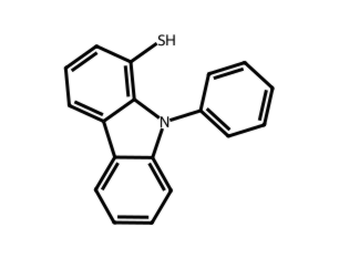 Sc1cccc2c3ccccc3n(-c3ccccc3)c12